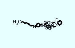 CCCCCC#CCCOc1ccc(CNC(=O)[C@H](O)[C@@H](O)C(=O)N2CCN(c3ccccc3F)CC2)cc1